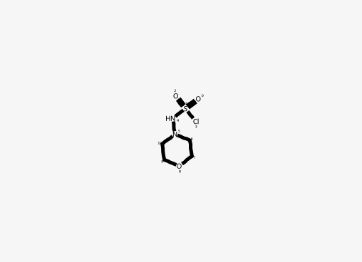 O=S(=O)(Cl)NN1CCOCC1